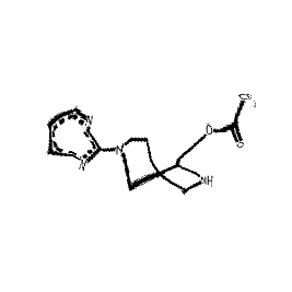 O=C(OC1NCC12CN(c1ncccn1)C2)C(F)(F)F